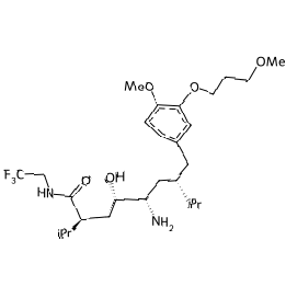 COCCCOc1cc(C[C@@H](C[C@H](N)[C@@H](O)C[C@H](C(=O)NCC(F)(F)F)C(C)C)C(C)C)ccc1OC